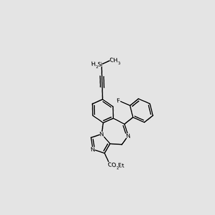 CCOC(=O)c1ncn2c1CN=C(c1ccccc1F)c1cc(C#C[SiH2]C)ccc1-2